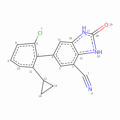 N#Cc1cc(-c2c(Cl)cccc2C2CC2)cc2[nH]c(=O)[nH]c12